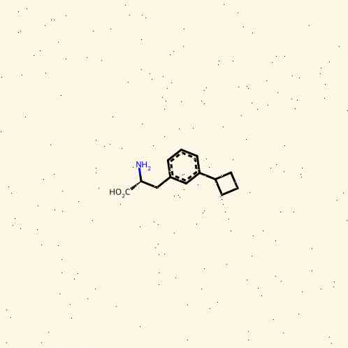 N[C@@H](Cc1cccc(C2CCC2)c1)C(=O)O